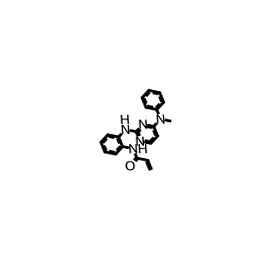 C=CC(=O)Nc1ccccc1Nc1nccc(N(C)c2ccccc2)n1